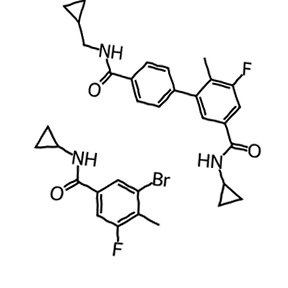 Cc1c(F)cc(C(=O)NC2CC2)cc1-c1ccc(C(=O)NCC2CC2)cc1.Cc1c(F)cc(C(=O)NC2CC2)cc1Br